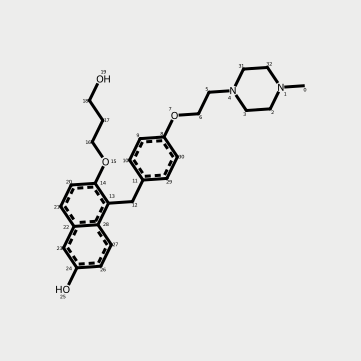 CN1CCN(CCOc2ccc(Cc3c(OCCCO)ccc4cc(O)ccc34)cc2)CC1